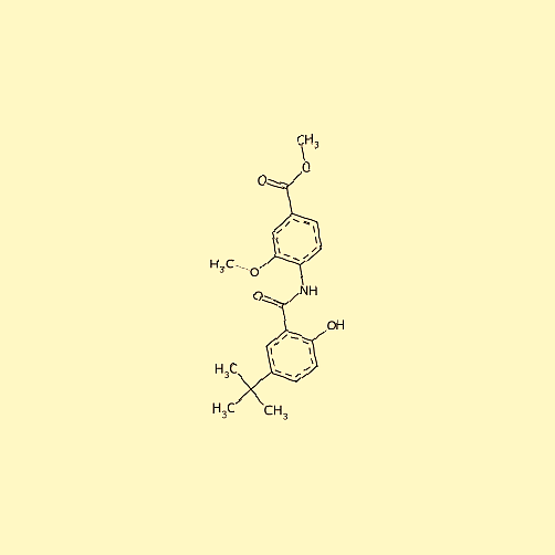 COC(=O)c1ccc(NC(=O)c2cc(C(C)(C)C)ccc2O)c(OC)c1